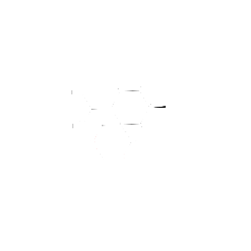 CC(C)C1CC[C@@H](C)CC12COCOC2